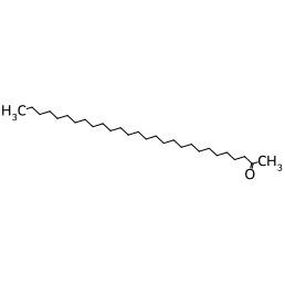 CCCCCCCCCCCCCCCCCCCCCCCCCCC(C)=O